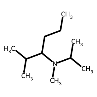 CCCC(C(C)C)N(C)C(C)C